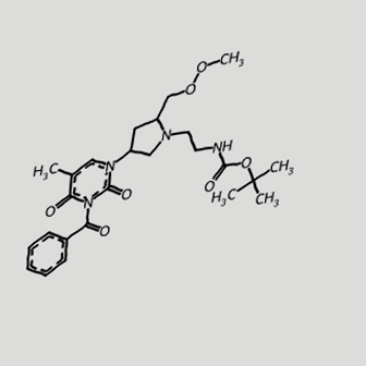 COOCC1CC(n2cc(C)c(=O)n(C(=O)c3ccccc3)c2=O)CN1CCNC(=O)OC(C)(C)C